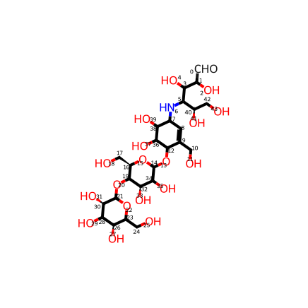 O=CC(O)C(O)C(NC1C=C(CO)C(OC2O[C@H](CO)C(OC3OC(CO)[C@@H](O)C(O)[C@H]3O)[C@H](O)C2O)C(O)C1O)[C@H](O)CO